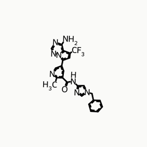 Cc1ncc(-c2cc(C(F)(F)F)c3c(N)ncnn23)cc1C(=O)Nc1cn(Cc2ccccc2)cn1